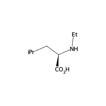 CCN[C@H](CC(C)C)C(=O)O